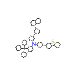 c1ccc(C2(c3ccccc3)c3ccccc3-c3ccc(N(c4ccc(-c5ccc6c(c5)sc5ccccc56)cc4)c4cccc(-c5cccc(-c6cccc7ccccc67)c5)c4)cc32)cc1